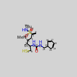 C=C(C[C@@H](NC)[C@H](C)C(CS)NC(=O)NCC1C=CC=CC1)S(=O)(=O)NC(C)(C)C